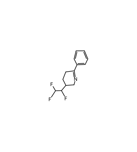 FC(F)C(F)C1CCC(c2ccccc2)=NC1